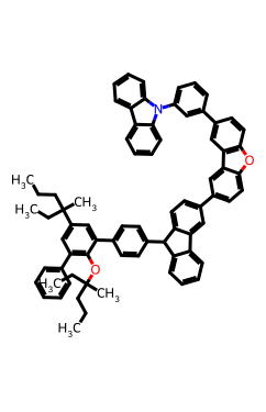 CCCC(C)(CC)Oc1c(-c2ccccc2)cc(C(C)(CC)CCC)cc1-c1ccc(C2c3ccccc3-c3cc(-c4ccc5oc6ccc(-c7cccc(-n8c9ccccc9c9ccccc98)c7)cc6c5c4)ccc32)cc1